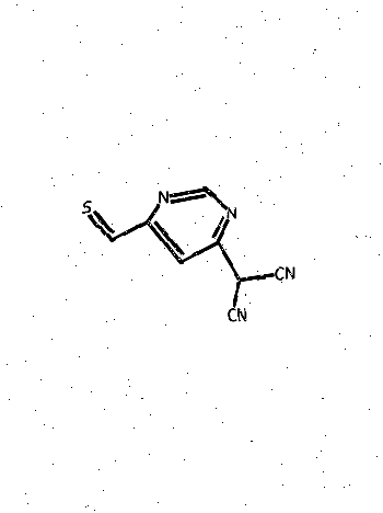 N#CC(C#N)c1cc(C=S)ncn1